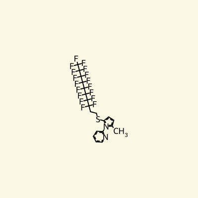 Cc1ccc(SCCC(F)(F)C(F)(F)C(F)(F)C(F)(F)C(F)(F)C(F)(F)C(F)(F)C(F)(F)F)n1-c1ccccn1